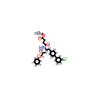 CCCCOC(=O)CCC(=O)N[C@@H](CC(=O)COc1ccccc1)Cc1ccc(-c2cccc(Cl)c2)cc1